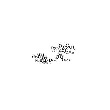 CCCCC(C)(C)OCC(C)C(C)(C)OC(=O)CCC(=O)OCCOc1ccc(C2(c3ccc(OC)cc3)C=Cc3c4c(c5cc(Sc6c(C)cccc6C)c(OC)cc5c3O2)-c2ccccc2C42CCC(CC)(CC)CC2)cc1